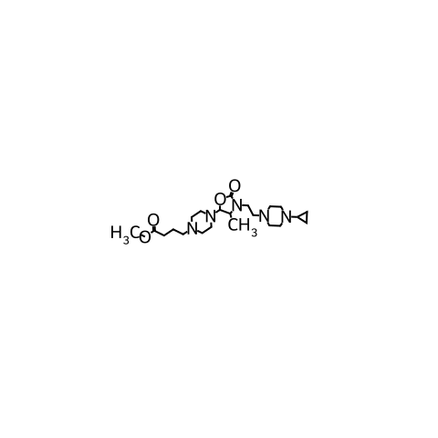 COC(=O)CCCN1CCN(C2OC(=O)N(CCN3CCN(C4CC4)CC3)C2C)CC1